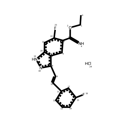 CCOC(=N)c1cc2c(/C=C/c3cccc(F)c3)n[nH]c2cc1F.Cl